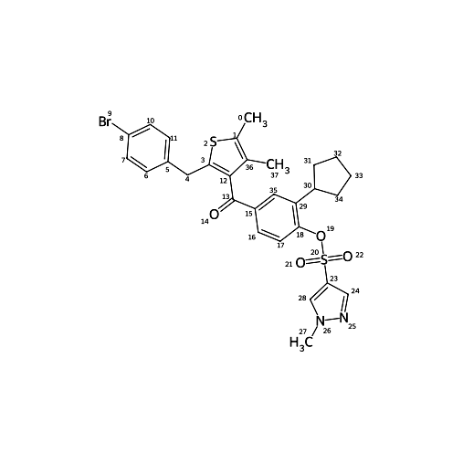 Cc1sc(Cc2ccc(Br)cc2)c(C(=O)c2ccc(OS(=O)(=O)c3cnn(C)c3)c(C3CCCC3)c2)c1C